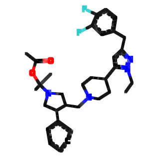 CCn1nc(Cc2ccc(F)c(F)c2)cc1C1CCN(CC2CN(C(C)(C)OC(C)=O)CC2c2ccccc2)CC1